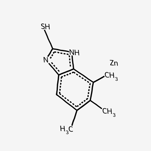 Cc1cc2nc(S)[nH]c2c(C)c1C.[Zn]